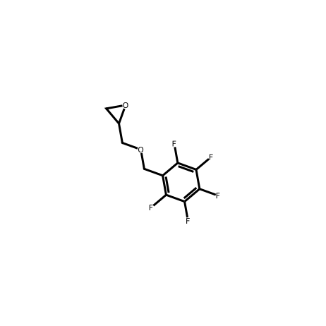 Fc1c(F)c(F)c(COCC2CO2)c(F)c1F